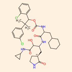 CC(C)(c1cccc(Cl)c1)C(OC(=O)NC(CC1CCCCC1)C(=O)NC(C[C@@H]1CCNC1=O)C(O)C(=O)NC1CC1)c1ccccc1Cl